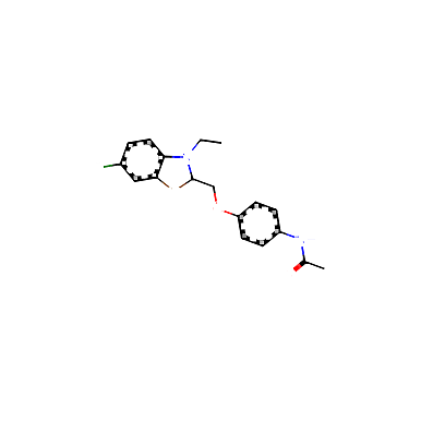 CCN1c2ccc(F)cc2SC1COc1ccc(NC(C)=O)cc1